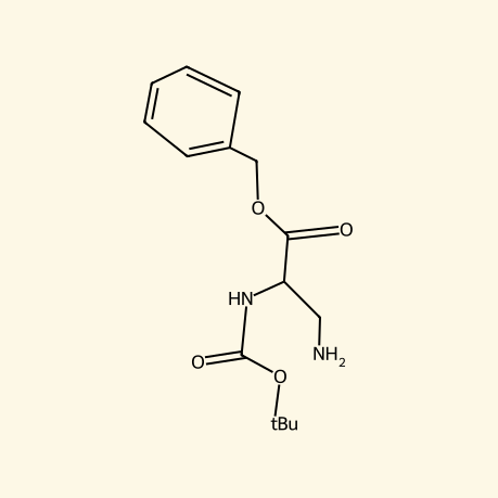 CC(C)(C)OC(=O)NC(CN)C(=O)OCc1ccccc1